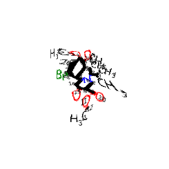 C=CC(C(C)C)n1cc(C(=O)OCC)c(=O)cc1-c1cc(OC)c(OC)cc1Br